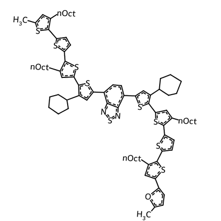 CCCCCCCCc1cc(C)sc1-c1ccc(-c2sc(-c3sc(-c4ccc(-c5cc(C6CCCCC6)c(-c6cc(CCCCCCCC)c(-c7ccc(-c8sc(-c9ccc(C)o9)cc8CCCCCCCC)s7)s6)s5)c5nsnc45)cc3C3CCCCC3)cc2CCCCCCCC)s1